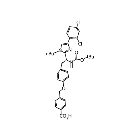 CCCCn1cc(-c2ccc(Cl)cc2Cl)nc1[C@H](Cc1ccc(OCc2ccc(C(=O)O)cc2)cc1)NC(=O)OC(C)(C)C